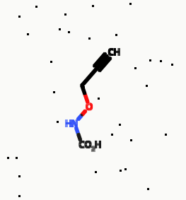 C#CCONC(=O)O